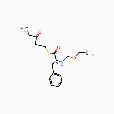 CCOCN[C@@H](Cc1ccccc1)C(=O)SCCC(=O)CC